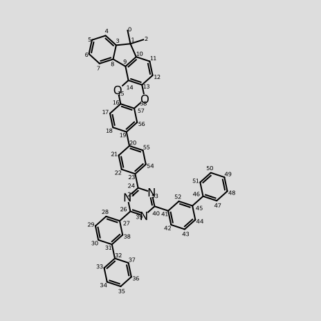 CC1(C)c2ccccc2-c2c1ccc1c2Oc2ccc(-c3ccc(-c4nc(-c5cccc(-c6ccccc6)c5)nc(-c5cccc(-c6ccccc6)c5)n4)cc3)cc2O1